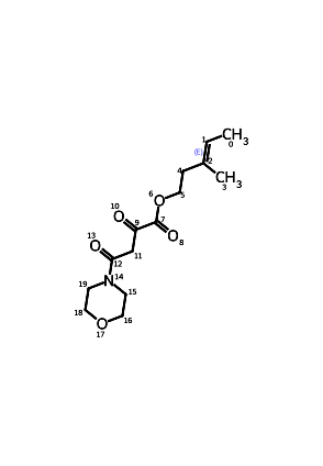 C/C=C(\C)CCOC(=O)C(=O)CC(=O)N1CCOCC1